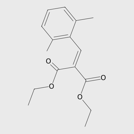 CCOC(=O)C(=Cc1c(C)cccc1C)C(=O)OCC